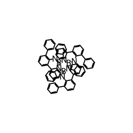 c1ccc(-c2cccc(-c3ccccc3)c2N2B3N(B4N(B5N3c3ccccc3N5c3c(-c5ccccc5)cccc3-c3ccccc3)c3ccccc3N4c3c(-c4ccccc4)cccc3-c3ccccc3)c3ccccc32)cc1